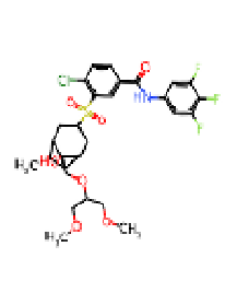 COCC(COC)OC[C@@]1(O)C2CC(S(=O)(=O)c3cc(C(=O)Nc4cc(F)c(F)c(F)c4)ccc3Cl)CC1[C@@H](C)C2